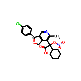 Cc1ncc2c(c1C(O[N+](=O)[O-])(C(=O)O)C1CCCCC1)CO[C@H]2c1ccc(Cl)cc1